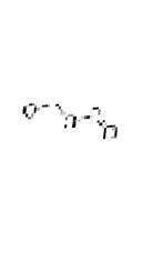 [O]COP=O